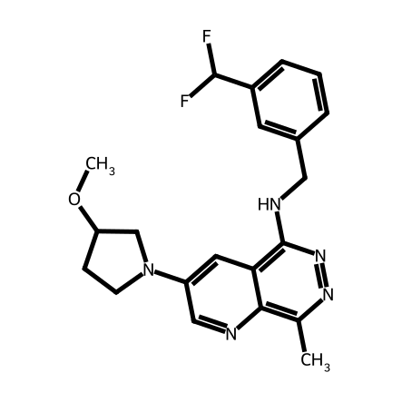 COC1CCN(c2cnc3c(C)nnc(NCc4cccc(C(F)F)c4)c3c2)C1